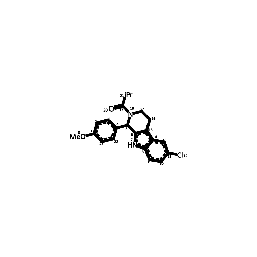 COc1ccc(C2c3[nH]c4ccc(Cl)cc4c3CCN2C(=O)C(C)C)cc1